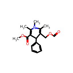 COC(=O)C1=C(C)N(C)C(C)=C(COC=O)C1c1ccccc1